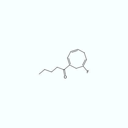 CCCCC(=O)/C1=C/C=C\C/C=C(/F)C1